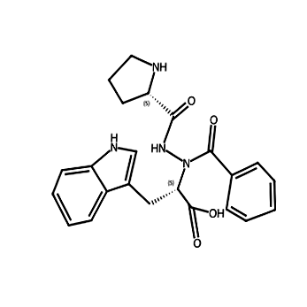 O=C(NN(C(=O)c1ccccc1)[C@@H](Cc1c[nH]c2ccccc12)C(=O)O)[C@@H]1CCCN1